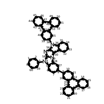 c1ccc(-n2c3ccc(-c4ccc5c6ccccc6c6ccccc6c5c4)cc3n3c4c5ccccc5n(-c5ccc6c7ccccc7c7ccccc7c6c5)c4nc23)cc1